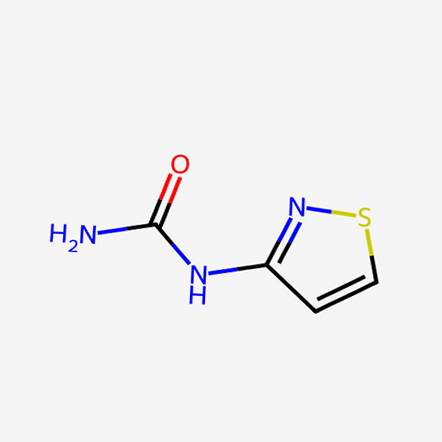 NC(=O)Nc1ccsn1